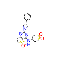 O=S1(=O)CCC(Nc2nc(N3CC(c4ccccc4)C3)nc3c2[S@+]([O-])CC3)CC1